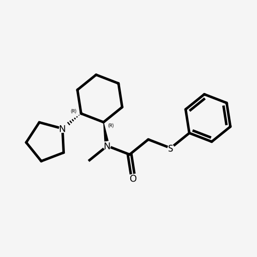 CN(C(=O)CSc1ccccc1)[C@@H]1CCCC[C@H]1N1CCCC1